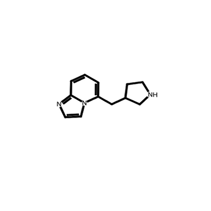 c1cc(CC2CCNC2)n2ccnc2c1